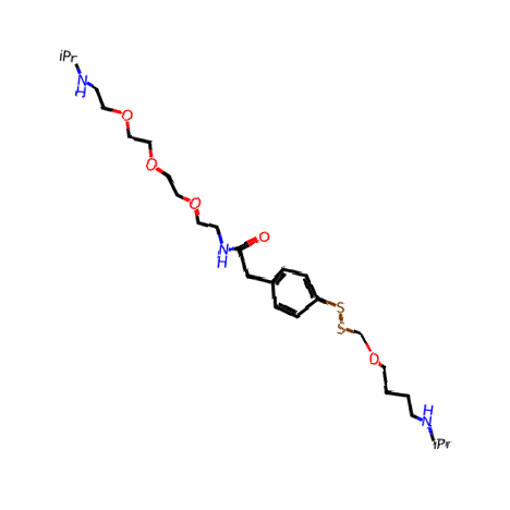 CC(C)NCCCCOCSSc1ccc(CC(=O)NCCOCCOCCOCCNC(C)C)cc1